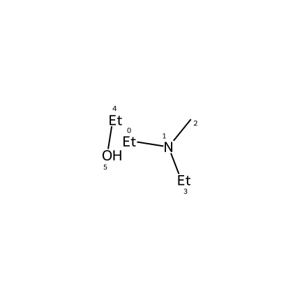 CCN(C)CC.CCO